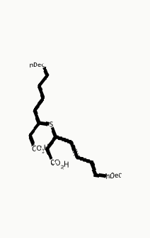 CCCCCCCCCCCCCCC(CC(=O)O)SC(CCCCCCCCCCCCCC)CC(=O)O